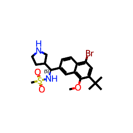 COc1c(C(C)(C)C)cc(Br)c2ccc([C@@H](NS(C)(=O)=O)C3CCNC3)cc12